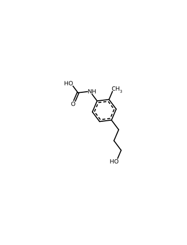 Cc1cc(CCCO)ccc1NC(=O)O